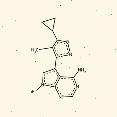 Cc1c(-c2cn(C(C)C)c3ncnc(N)c23)noc1C1CC1